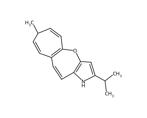 CC1C=CC2=C(C=C1)Oc1cc(C(C)C)[nH]c1C=C2